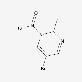 CC1N=CC(Br)=CN1[N+](=O)[O-]